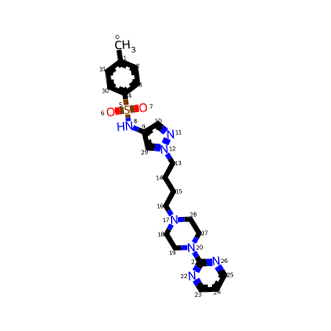 Cc1ccc(S(=O)(=O)Nc2cnn(CCCCN3CCN(c4ncccn4)CC3)c2)cc1